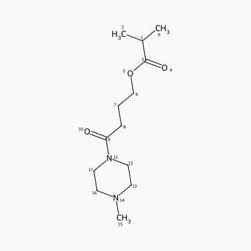 CC(C)C(=O)OCCCC(=O)N1CCN(C)CC1